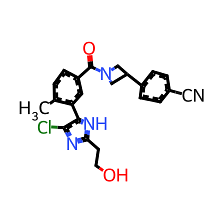 Cc1ccc(C(=O)N2CC(c3ccc(C#N)cc3)C2)cc1-c1[nH]c(CCO)nc1Cl